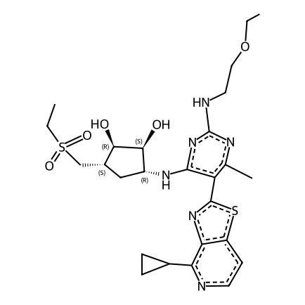 CCOCCNc1nc(C)c(-c2nc3c(C4CC4)nccc3s2)c(N[C@@H]2C[C@H](CS(=O)(=O)CC)[C@@H](O)[C@H]2O)n1